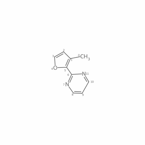 Cc1ccoc1-c1ncccn1